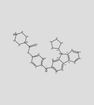 O=C(Cc1ccc(Nc2ncc3c4ccncc4n(C4CCCC4)c3n2)nc1)N1CCNCC1